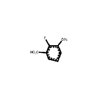 CC(=O)Oc1cccc(C(=O)O)c1F